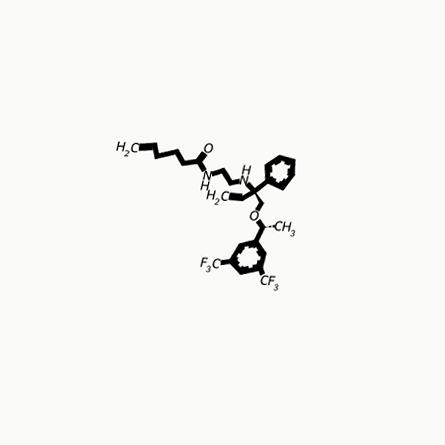 C=CCCCC(=O)NCCN[C@](C=C)(CO[C@H](C)c1cc(C(F)(F)F)cc(C(F)(F)F)c1)c1ccccc1